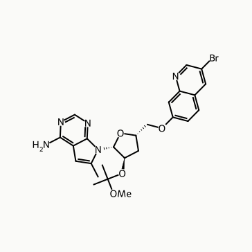 COC(C)(C)O[C@@H]1C[C@@H](COc2ccc3cc(Br)cnc3c2)O[C@H]1n1c(C)cc2c(N)ncnc21